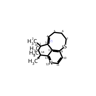 CC(C)/C1=C/CCCSc2ccnc(C(C)C)c21